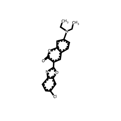 CCN(CC)c1ccc2cc(-c3nc4ccc(Cl)cc4o3)c(=O)oc2c1